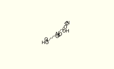 CS(=O)(=O)N(CCCCCCC(=O)O)CCCC(O)COc1cccnc1